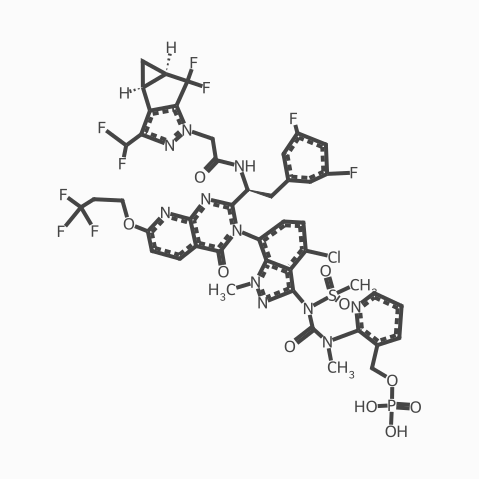 CN(C(=O)N(c1nn(C)c2c(-n3c([C@H](Cc4cc(F)cc(F)c4)NC(=O)Cn4nc(C(F)F)c5c4C(F)(F)[C@@H]4C[C@H]54)nc4nc(OCCC(F)(F)F)ccc4c3=O)ccc(Cl)c12)S(C)(=O)=O)c1ncccc1COP(=O)(O)O